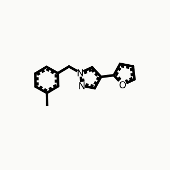 Cc1cccc(Cn2cc(-c3ccco3)cn2)c1